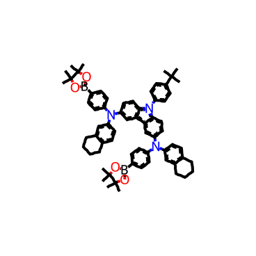 CC(C)(C)c1ccc(-n2c3ccc(N(c4ccc(B5OC(C)(C)C(C)(C)O5)cc4)c4ccc5c(c4)CCCC5)cc3c3cc(N(c4ccc(B5OC(C)(C)C(C)(C)O5)cc4)c4ccc5c(c4)CCCC5)ccc32)cc1